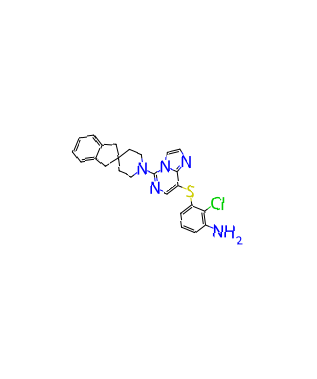 Nc1cccc(Sc2cnc(N3CCC4(CC3)Cc3ccccc3C4)n3ccnc23)c1Cl